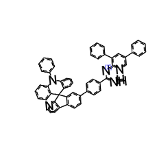 N=C(/N=c1\[nH]cc(-c2ccccc2)cc1-c1ccccc1)c1ccc(-c2ccc3c(c2)C2(c4ccccc4N(c4ccccc4)c4ccccc42)c2ncccc2-3)cc1